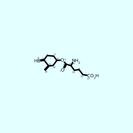 B=C1CCC(OC(=O)C(N)CCCC(=O)O)CC1=C